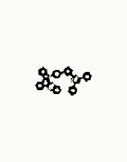 c1ccc(-c2cc(-c3ccccc3)nc(-c3cccc(-c4ccc(-n5c6ccccc6c6c7ccccc7c7c(c65)Sc5ccccc5S7)cc4)c3)n2)cc1